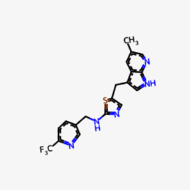 Cc1cnc2[nH]cc(Cc3cnc(NCc4ccc(C(F)(F)F)nc4)s3)c2c1